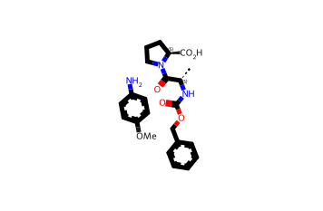 COc1ccc(N)cc1.C[C@H](NC(=O)OCc1ccccc1)C(=O)N1CCC[C@H]1C(=O)O